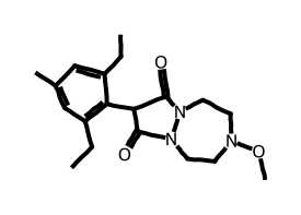 CCc1cc(C)cc(CC)c1C1C(=O)N2CCN(OC)CCN2C1=O